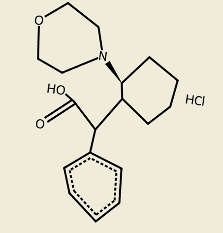 Cl.O=C(O)C(c1ccccc1)C1CCCC[C@@H]1N1CCOCC1